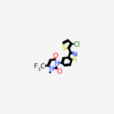 Cn1c(C(F)(F)F)cc(=O)n(-c2ccc3snc(-c4sccc4Cl)c3c2)c1=O